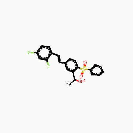 CC(O)c1cc(/C=C/c2ccc(F)cc2F)ccc1S(=O)(=O)c1ccccc1